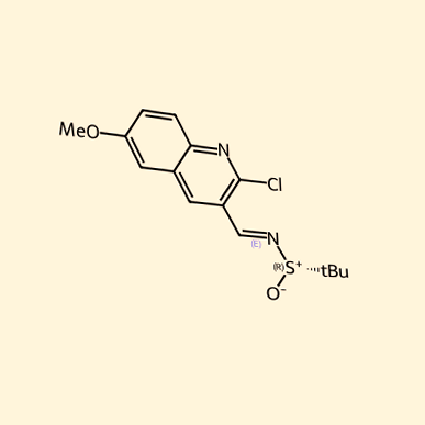 COc1ccc2nc(Cl)c(/C=N/[S@@+]([O-])C(C)(C)C)cc2c1